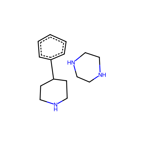 C1CNCCN1.c1ccc(C2CCNCC2)cc1